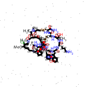 COc1cc2cc(c1Cl)N(C)C(=O)C[C@H](OC(=O)[C@H](C)N(C)C(=O)CCSSC[C@@H](NC(=O)[C@@H]1CSSC[C@H](NC(=O)[C@@H](Cc3ccccc3)NC(=O)C(F)(F)F)C(=O)N[C@@H](Cc3ccc(O)cc3)C(=O)N[C@H](Cc3c[nH]c4ccccc34)C(=O)N[C@@H](CCCCN)C(=O)N[C@@H]([C@@H](C)O)C(=O)N1)C(N)=O)[C@]1(C)O[C@H]1[C@H](C)[C@@H]1C[C@@](O)(NC(=O)O1)[C@H](OC)/C=C/C=C(\C)C2